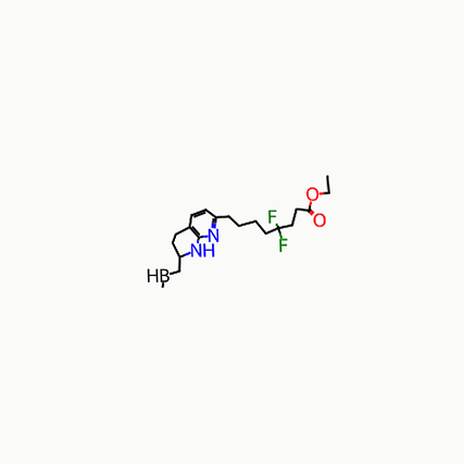 CBCC1CCc2ccc(CCCCC(F)(F)CCC(=O)OCC)nc2N1